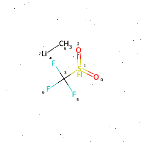 O=[SH](=O)C(F)(F)F.[Li][CH3]